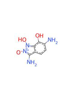 Nc1ccc2c(N)[n+]([O-])n(O)c2c1O